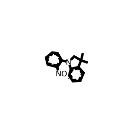 CC1(C)CN(c2ccccc2[N+](=O)[O-])c2ccccc21